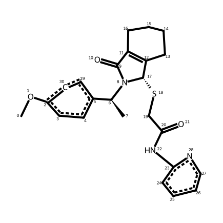 COc1ccc([C@H](C)N2C(=O)C3=C(CCCC3)[C@@H]2SCC(=O)Nc2ccccn2)cc1